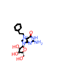 Nc1nc2c(c(=O)[nH]1)[n+](CCc1ccccc1)cn2[C@@H]1O[C@H](CO)[C@@H](O)[C@H]1O